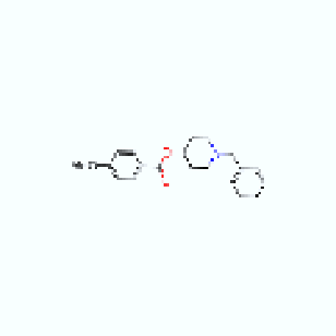 COc1ccc(C(=O)OC2CCN(Cc3ccccc3)CC2)cc1